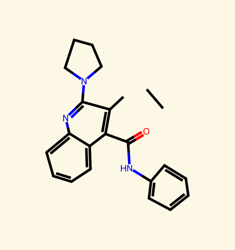 CC.Cc1c(N2CCCC2)nc2ccccc2c1C(=O)Nc1ccccc1